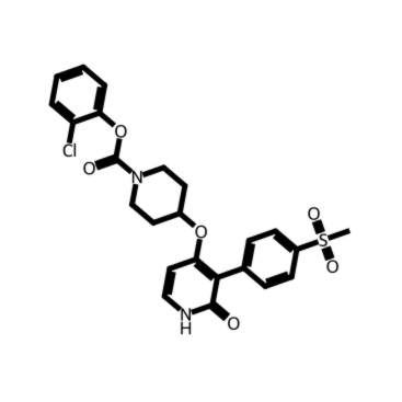 CS(=O)(=O)c1ccc(-c2c(OC3CCN(C(=O)Oc4ccccc4Cl)CC3)cc[nH]c2=O)cc1